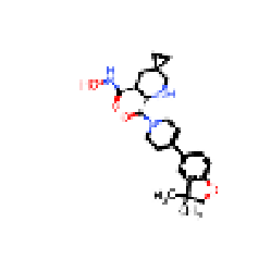 CC1(C)COc2ccc(C3=CCN(C(=O)[C@H]4NCC5(CC5)C[C@@H]4C(=O)NO)CC3)cc21